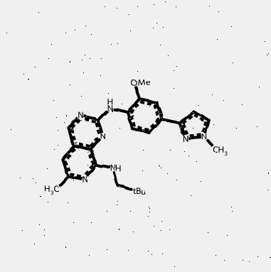 COc1cc(-c2ccn(C)n2)ccc1Nc1ncc2cc(C)nc(NCC(C)(C)C)c2n1